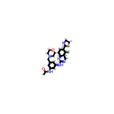 CC(=O)Nc1cc(CN2CCOCC2)cc(Nc2ncc3c(F)c(C4=NCCS4)ccc3n2)c1